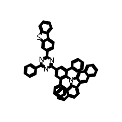 c1ccc(-c2nc(-c3cc(-c4ccccc4)c(-n4c5cc6ccccc6cc5c5ccc6ccccc6c54)c(-c4ccccc4)c3)nc(-c3ccc4c(c3)sc3ccccc34)n2)cc1